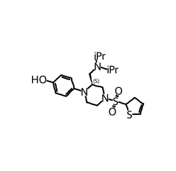 CC(C)N(C[C@H]1CN(S(=O)(=O)C2CC=CS2)CCN1c1ccc(O)cc1)C(C)C